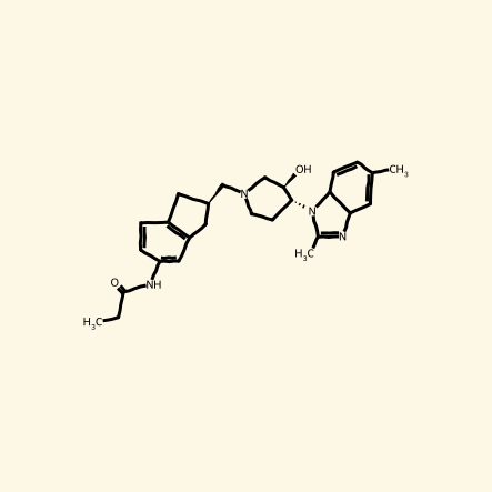 CCC(=O)Nc1ccc2c(c1)C[C@H](CN1CC[C@@H](N3C(C)=NC4C=C(C)C=CC43)[C@H](O)C1)C2